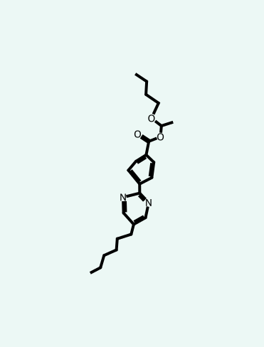 CCCCCCc1cnc(-c2ccc(C(=O)OC(C)OCCCC)cc2)nc1